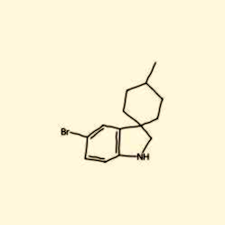 CC1CCC2(CC1)CNc1ccc(Br)cc12